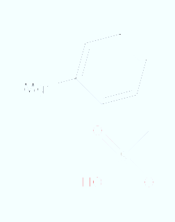 CS(=O)(=O)O.[Mg+2][c]1ccccc1